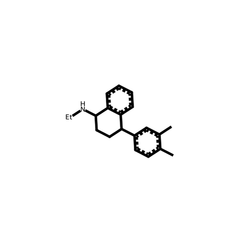 CCNC1CCC(c2ccc(C)c(C)c2)c2ccccc21